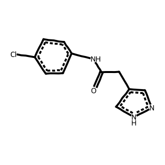 O=C(Cc1cn[nH]c1)Nc1ccc(Cl)cc1